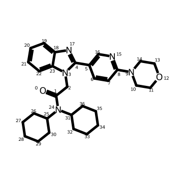 O=C(Cn1c(-c2ccc(N3CCOCC3)nc2)nc2ccccc21)N(C1CCCCC1)C1CCCCC1